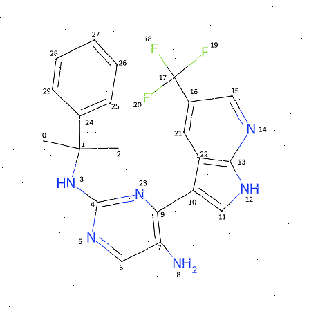 CC(C)(Nc1ncc(N)c(-c2c[nH]c3ncc(C(F)(F)F)cc23)n1)c1ccccc1